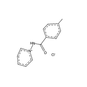 Cc1ccc(C(=O)N[n+]2ccccc2)cc1.[Cl-]